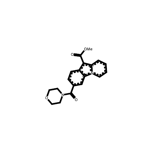 COC(=O)c1c2ccc(C(=O)N3CCOCC3)cc2n2ccccc12